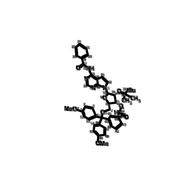 COc1ccc(C(OC[C@H]2O[C@@H](n3ccc4c(NC(=O)c5ccccc5)ncnc43)[C@H](O[Si](C)(C)C(C)(C)C)[C@@H]2O[PH](=O)O)(c2ccccc2)c2ccc(OC)cc2)cc1